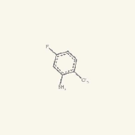 Bc1cc(F)ccc1C(F)(F)F